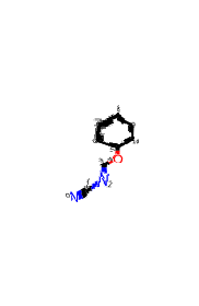 N#CN=COc1ccccc1